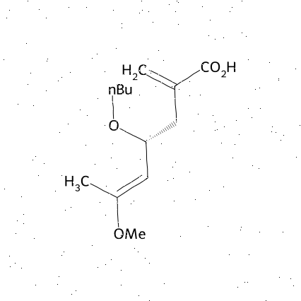 C=C(C[C@H](/C=C(\C)OC)OCCCC)C(=O)O